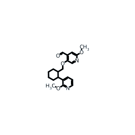 COc1cc(C=O)c(OCC2CCCCC2c2cccnc2OC)cn1